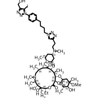 CC[C@H]1OC(=O)[C@H](C)[C@@H](O[C@H]2C[C@@](C)(OC)[C@@H](O)[C@H](C)O2)[C@H](C)[C@@H](O[C@H]2C[C@@H](N(C)CCc3cn(CCCCc4ccc(-n5nnc(CO)c5I)cc4)nn3)C[C@@H](C)O2)[C@](C)(O)C[C@@H](C)CN(C)[C@H](C)[C@@H](O)[C@]1(C)O